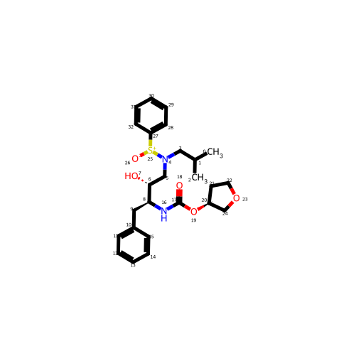 CC(C)CN(C[C@@H](O)[C@H](Cc1ccccc1)NC(=O)O[C@H]1CCOC1)[S+]([O-])c1ccccc1